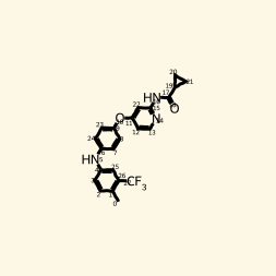 Cc1ccc(Nc2ccc(Oc3ccnc(NC(=O)C4CC4)c3)cc2)cc1C(F)(F)F